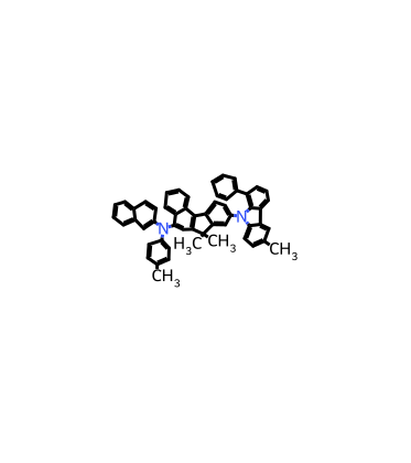 Cc1ccc(N(c2ccc3ccccc3c2)c2cc3c(c4ccccc24)-c2ccc(-n4c5ccc(C)cc5c5cccc(-c6ccccc6)c54)cc2C3(C)C)cc1